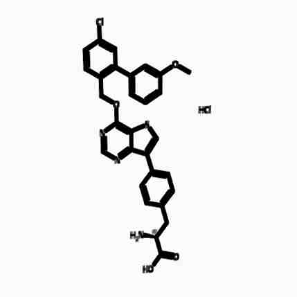 COc1cccc(-c2cc(Cl)ccc2COc2ncnc3c(-c4ccc(C[C@H](N)C(=O)O)cc4)csc23)c1.Cl